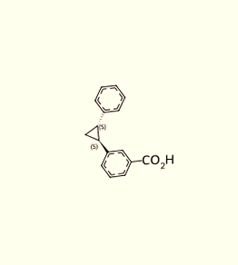 O=C(O)c1cccc([C@H]2C[C@@H]2c2ccccc2)c1